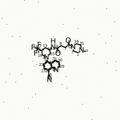 CN1CCN(C(=O)CCC(=O)NC2CC(C(F)(F)F)CN(c3ccc(C#N)c4ncccc34)C2)CC1